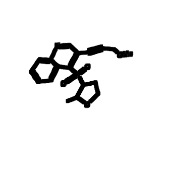 COCC#Cc1cnc2ccccc2c1S(=O)(=O)C1CCOC1C